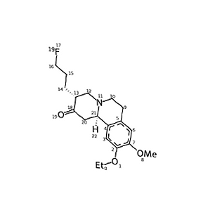 CCOc1cc2c(cc1OC)CCN1C[C@@H](CCC[19F])C(=O)C[C@H]21